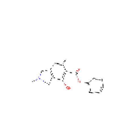 Cc1cc2c(c(O)c1C(=O)Oc1ccccc1)CN(C)C2